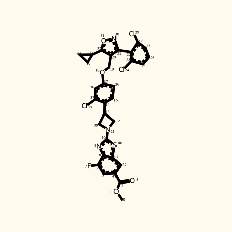 COC(=O)c1cc(F)c2nc(N3CC(c4ccc(OCc5c(-c6c(Cl)cccc6Cl)noc5C5CC5)cc4Cl)C3)sc2c1